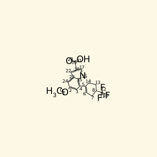 COc1cc(C2=CCC(C(F)(F)F)CC2)c2ncc(C(=O)O)cc2c1